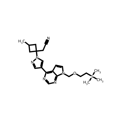 CC1CC(CC#N)(n2cc(-c3ncnc4c3ccn4COCCS(C)(C)C)cn2)C1